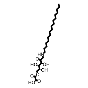 CCCCCCCCCCCCCCCCCCNCC(=O)[C@@H](O)[C@H](O)[C@H](O)COC(=O)C(=O)O